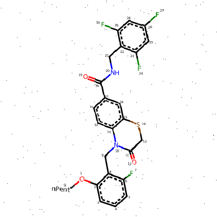 CCCCCOc1cccc(F)c1CN1C(=O)CSc2cc(C(=O)NCc3c(F)cc(F)cc3F)ccc21